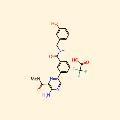 CNC(=O)c1nc(-c2cccc(C(=O)NCc3cccc(O)c3)c2)cnc1N.O=C(O)C(F)(F)F